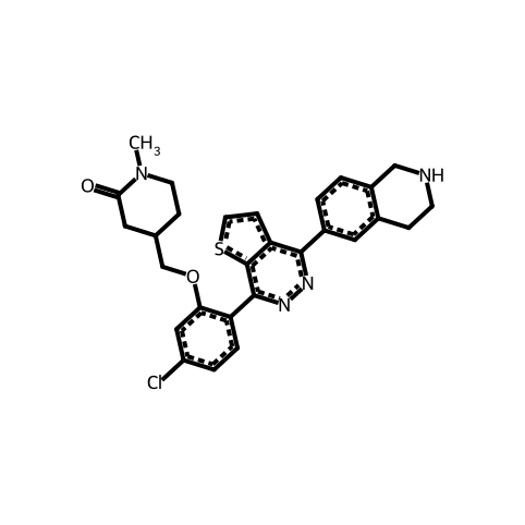 CN1CCC(COc2cc(Cl)ccc2-c2nnc(-c3ccc4c(c3)CCNC4)c3ccsc23)CC1=O